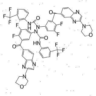 O=C(c1ccc2ncc(N3CCOCC3)nc2c1)c1cc(N(C(=O)Nc2cccc(C(F)(F)F)c2)N(C(=O)Nc2cccc(C(F)(F)F)c2)c2cc(F)c(F)c(C(=O)c3ccc4ncc(N5CCOCC5)nc4c3)c2)cc(F)c1F